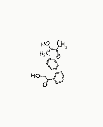 CC(=O)C(C)O.O=C(CO)c1ccccc1.c1ccccc1